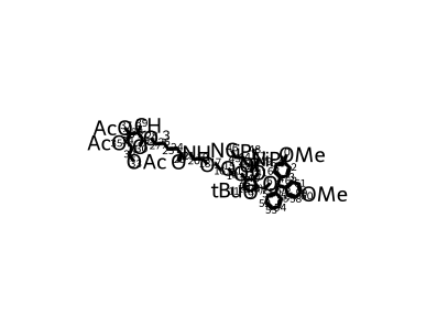 COc1ccc(C(OC[C@H]2O[C@@H](C(C)(C)C)C(OCOCCOCCNC(=O)CCCCOC3OC(COC(C)=O)C(OC(C)=O)C(OC(C)=O)C3C)C2OP(OCCC#N)N(C(C)C)C(C)C)(c2ccccc2)c2ccc(OC)cc2)cc1